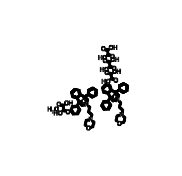 O.O=C(O)C(=O)O.O=C(O)C(=O)O.O=C(O)C(=O)O.O=C(O)C(=O)O.c1ccc(C23CN(CCCN4CCOCC4)CC(c4ccccc4)(O2)c2ccccc23)cc1.c1ccc(C23CN(CCCN4CCOCC4)CC(c4ccccc4)(O2)c2ccccc23)cc1